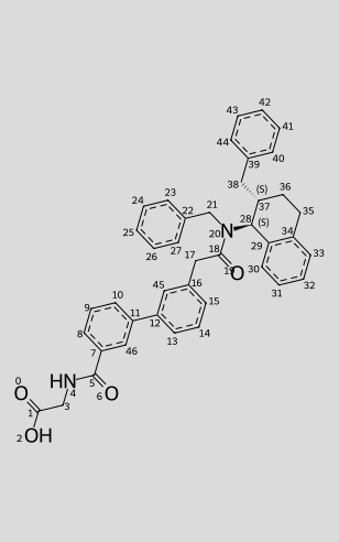 O=C(O)CNC(=O)c1cccc(-c2cccc(CC(=O)N(Cc3ccccc3)[C@@H]3c4ccccc4CC[C@H]3Cc3ccccc3)c2)c1